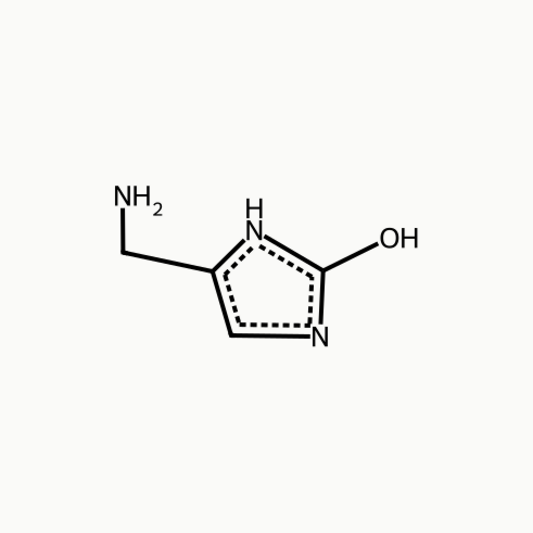 NCc1cnc(O)[nH]1